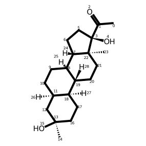 CC(=O)[C@@]1(O)CC[C@H]2[C@@H]3CC[C@@H]4C[C@](C)(O)CC[C@@H]4[C@H]3CC[C@@]21C